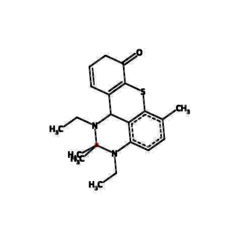 CCN(CC)c1ccc(C)c2c1C(N(CC)CC)C1=C(S2)C(=O)CC=C1